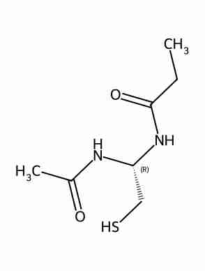 CCC(=O)N[C@H](CS)NC(C)=O